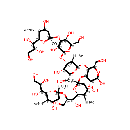 CC(=O)N[C@H]1[C@H](O[C@@H]2[C@H](O[C@]3(C(=O)O)C[C@H](O)[C@@H](NC(C)=O)[C@H]([C@H](O)[C@@H](CO)O[C@]4(C(=O)O)C[C@H](O)[C@@H](NC(C)=O)[C@H]([C@H](O)[C@H](O)CO)O4)O3)[C@@H](O)[C@H](O)O[C@@H]2CO)O[C@H](CO)[C@H](O)[C@@H]1O[C@@H]1O[C@H](CO)[C@H](O)[C@H](O[C@]2(C(=O)O)C[C@H](O)[C@@H](NC(C)=O)[C@H]([C@H](O)[C@H](O)CO)O2)[C@H]1O